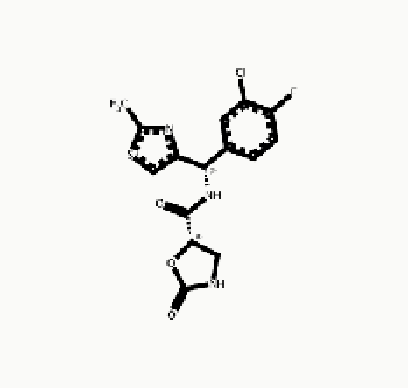 O=C1NC[C@@H](C(=O)N[C@@H](c2ccc(F)c(Cl)c2)c2csc(C(F)(F)F)n2)O1